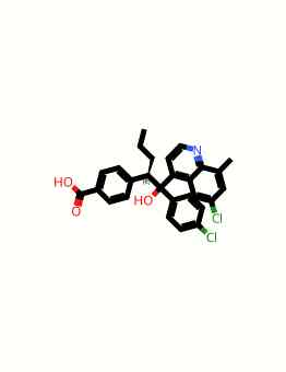 CCC[C@H](c1ccc(C(=O)O)cc1)C(O)(c1ccc(Cl)cc1)c1ccnc2c(C)cc(Cl)cc12